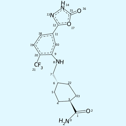 NC(=O)[C@H]1CC[C@H](CNc2cc(-c3n[nH]c(=O)o3)ccc2C(F)(F)F)CC1